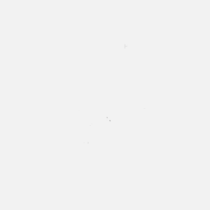 CCOC(=O)Nc1ccc(Br)cc1F